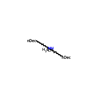 C=C.CCCCCCCCCCCCCCCCCCCCCCNCCCCCCCCCCCCCCCCCCCCCC